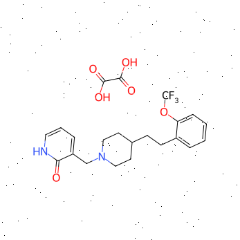 O=C(O)C(=O)O.O=c1[nH]cccc1CN1CCC(CCc2ccccc2OC(F)(F)F)CC1